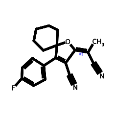 C/C(C#N)=C1\OC2(CCCCC2)C(c2ccc(F)cc2)=C1C#N